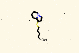 CCCCCCCCCCCCSc1ccn2ccccc12